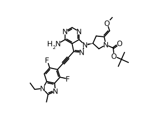 CCn1c(C)nc2c(F)c(C#Cc3nn([C@H]4C/C(=C\OC)N(C(=O)OC(C)(C)C)C4)c4ncnc(N)c34)c(F)cc21